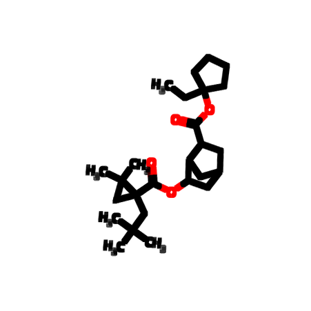 CCC1(OC(=O)C2CC3CC(OC(=O)C4(CC(C)(C)C)CC4(C)C)C2C3)CCCC1